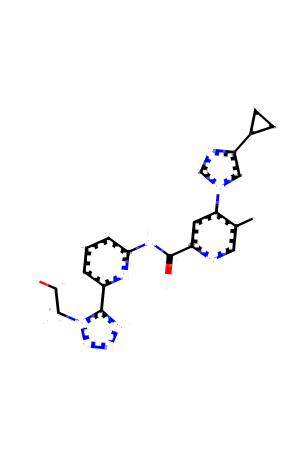 Cc1cnc(C(=O)Nc2cccc(-c3nnnn3[C@H](C)CO)n2)cc1-n1cnc(C2CC2)c1